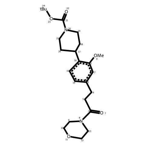 COc1cc(CCC(=O)N2CCOCC2)ccc1C1CCN(C(=O)OC(C)(C)C)CC1